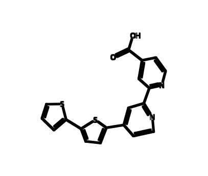 O=C(O)c1ccnc(-c2cc(-c3ccc(-c4cccs4)s3)ccn2)c1